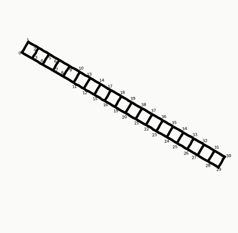 C1CC2C1C1C2C2C1C1C2C2C1C1C2C2C1C1C2C2C1C1C3C4C5C6C7C8C9C%10CCC%10C9C8C7C6C5C4C3C21